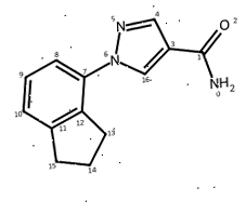 NC(=O)c1cnn(-c2cccc3c2CCC3)c1